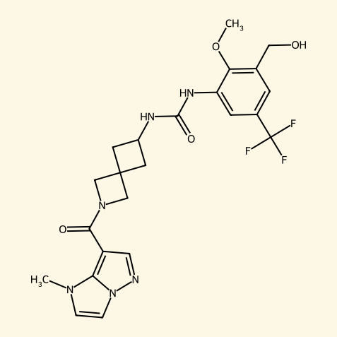 COc1c(CO)cc(C(F)(F)F)cc1NC(=O)NC1CC2(C1)CN(C(=O)c1cnn3ccn(C)c13)C2